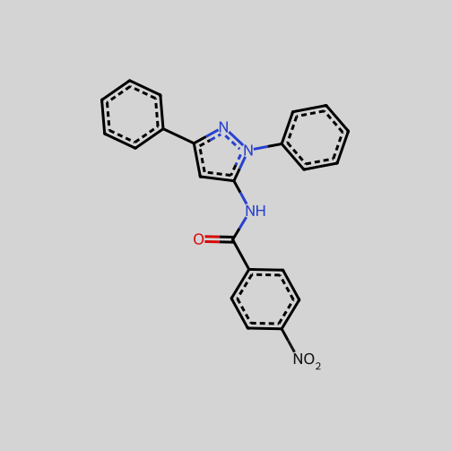 O=C(Nc1cc(-c2ccccc2)nn1-c1ccccc1)c1ccc([N+](=O)[O-])cc1